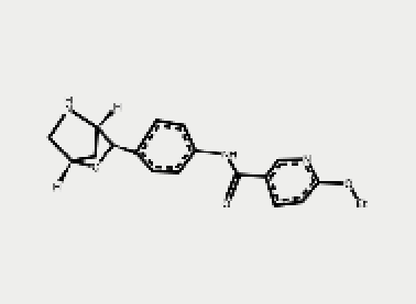 CCOc1ccc(C(=O)Nc2ccc([C@H]3O[C@@H]4CN[C@H]3C4)cc2)cn1